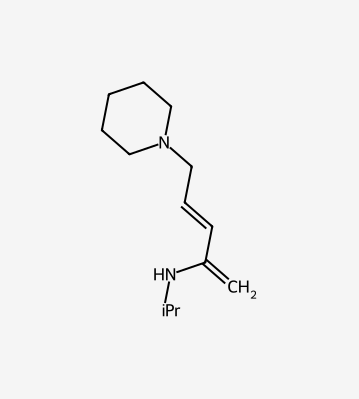 C=C(/C=C/CN1CCCCC1)NC(C)C